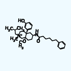 COC12CC[C@H](NC(=O)CCCCCc3ccccc3)C[C@@]1(c1cccc(O)c1)CC[N@@+](C)(CC(C)C)C2